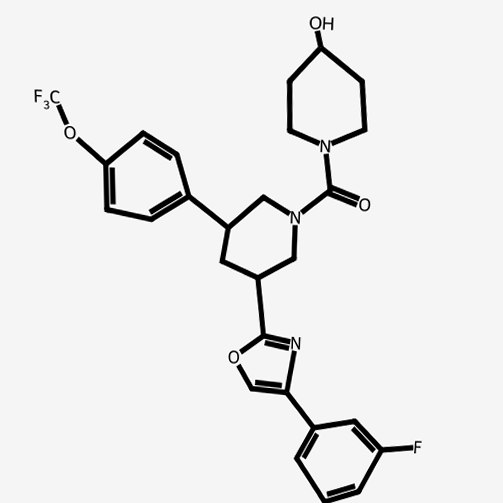 O=C(N1CCC(O)CC1)N1CC(c2ccc(OC(F)(F)F)cc2)CC(c2nc(-c3cccc(F)c3)co2)C1